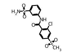 CS(=O)(=O)c1ccc(C(=O)Nc2cccc(S(N)(=O)=O)c2)c(Cl)c1